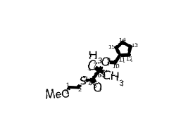 COCCSC(=O)C(C)(C)OCC1CCCC1